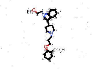 CCOCCn1cc(C2CCN(CCCOc3ccccc3C(=O)O)CC2)c2ccccc21